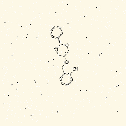 Brc1ccccc1CO[C@H]1CO[C@H](c2ccccc2)OC1